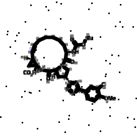 COc1ccc(-c2nnn([C@@H]3C[C@H]4C(=O)N[C@]5(C(=O)O)C[C@H]5/C=C\CCCCC[C@H](NC(=O)OC(C)(C)C)C(=O)N4C3)n2)cc1Cl